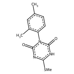 CSc1nc(=O)n(-c2ccc(C)cc2C)c(=O)[nH]1